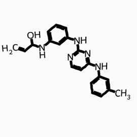 C=CC(O)Nc1cccc(Nc2nccc(Nc3cccc(C)c3)n2)c1